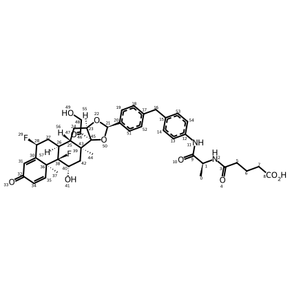 C[C@H](NC(=O)CCCC(=O)O)C(=O)Nc1ccc(Cc2ccc([C@@H]3O[C@@H]4C[C@H]5[C@@H]6C[C@H](F)C7=CC(=O)C=C[C@]7(C)[C@@]6(F)[C@@H](O)C[C@]5(C)[C@]4(C(=O)CO)O3)cc2)cc1